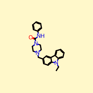 CCn1c2ccccc2c2cc(CN3CCN(C(=O)Nc4ccccc4)CC3)ccc21